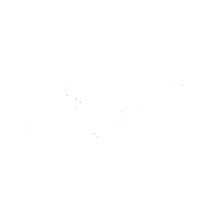 CCCCCCCCCCCCCCC(CCC(O)NC(=O)c1ccc2ccccc2c1)S(=O)(=O)[O-].[Na+]